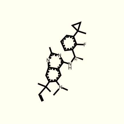 C=CC(C)(C)c1cc2nc(C)nc(N[C@H](C)c3cccc(C4(C)CC4)c3F)c2cc1N(C)C